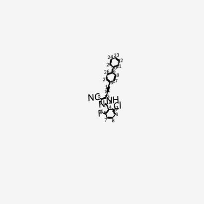 N#Cc1nc(-c2c(F)cccc2Cl)[nH]c1C#Cc1ccc(-c2ccccc2)cc1